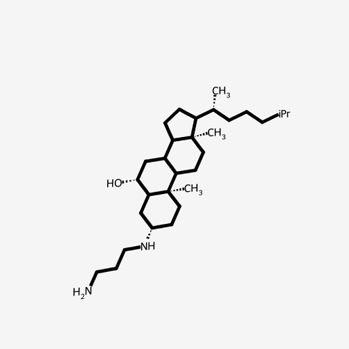 CC(C)CCC[C@@H](C)C1CCC2C3C[C@@H](O)C4C[C@@H](NCCCN)CC[C@]4(C)C3CC[C@@]21C